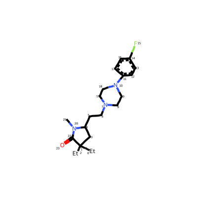 CCC1(CC)CC(CCN2CCN(c3ccc(F)cc3)CC2)N(C)C1=O